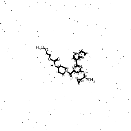 COCCOC(=O)NC1CCN(C(=O)c2cc(N[C@@H](C)C3CC3)nc(-c3cnn4ccsc34)n2)CC1